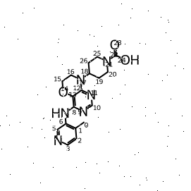 Cc1ccncc1Nc1ncnc2c1OCCN2C1CCN(C(=O)O)CC1